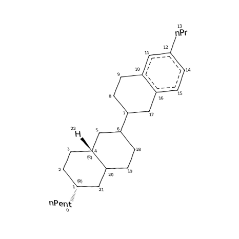 CCCCC[C@@H]1CC[C@@H]2CC(C3CCc4cc(CCC)ccc4C3)CCC2C1